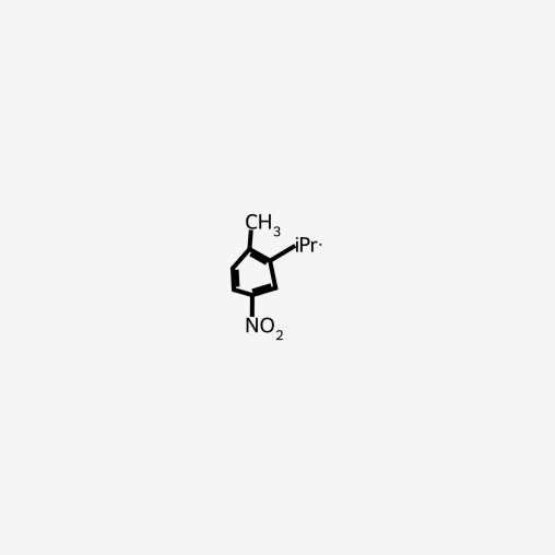 C[C](C)c1cc([N+](=O)[O-])ccc1C